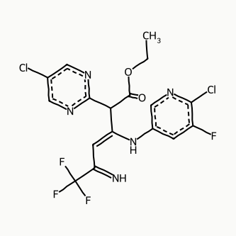 CCOC(=O)C(/C(=C/C(=N)C(F)(F)F)Nc1cnc(Cl)c(F)c1)c1ncc(Cl)cn1